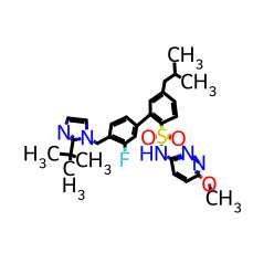 COc1ccc(NS(=O)(=O)c2ccc(CC(C)C)cc2-c2ccc(Cn3ccnc3C(C)(C)C)c(F)c2)nn1